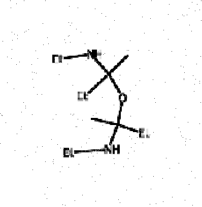 CCNC(C)(CC)OC(C)(CC)NCC